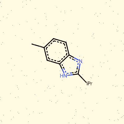 Cc1ccc2nc(C(C)C)[nH]c2c1